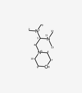 CN(C)C(CN1CCOCC1)N(C)C